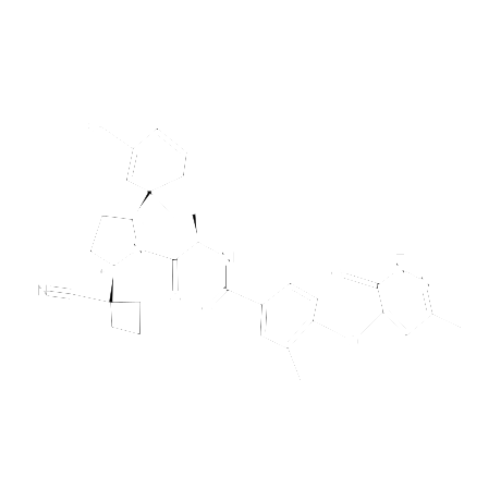 Cc1cc(Oc2ccc(C(=O)N[C@H](C)C(=O)N3[C@H](C4(C)C=C(Cl)C=CC4)CC[C@@H]3C3(C#N)CCC3)cc2C)c(=O)[nH]n1